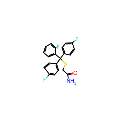 NC(=O)CSC(c1ccc(F)cc1)(c1ccc(F)cc1)c1ccccc1F